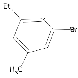 CCc1[c]c(Br)cc(C)c1